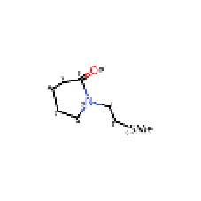 CSCCN1CCCCC1=O